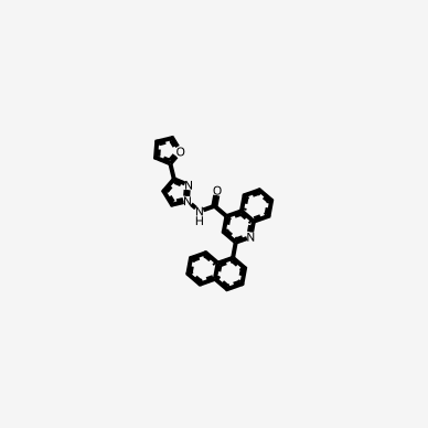 O=C(Nn1ccc(-c2ccco2)n1)c1cc(-c2cccc3ccccc23)nc2ccccc12